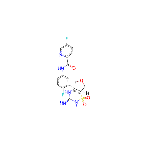 CN1C(=N)N[C@@]2(c3cc(NC(=O)c4ccc(F)cn4)ccc3F)COC[C@H]2S1(=O)=O